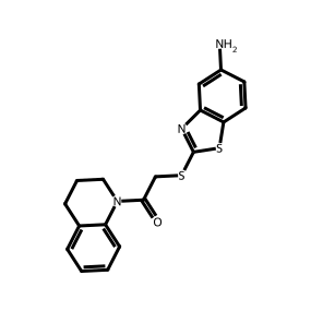 Nc1ccc2sc(SCC(=O)N3CCCc4ccccc43)nc2c1